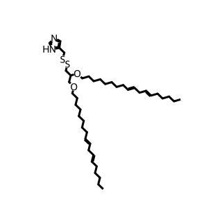 CCCCCC=CCC=CCCCCCCCCOCC(CSSCc1cnc[nH]1)OCCCCCCCCC=CCC=CCCCCC